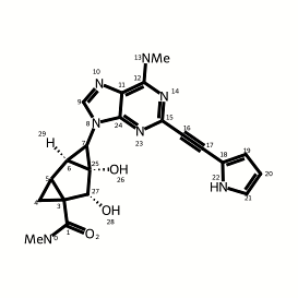 CNC(=O)C12CC1[C@H]1C(n3cnc4c(NC)nc(C#Cc5ccc[nH]5)nc43)[C@@]1(O)[C@@H]2O